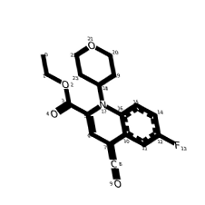 CCOC(=O)C1=CC(=C=O)c2cc(F)ccc2N1C1CCOCC1